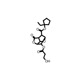 CCC1(OC(=O)C2C3OC4C(OC(=O)C42)C3OC(=O)CCO)CCCC1